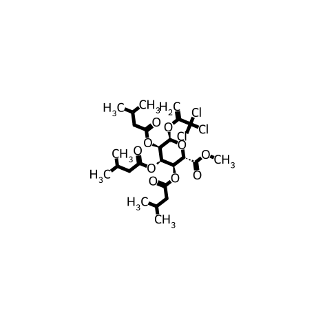 C=C(O[C@H]1O[C@H](C(=O)OC)[C@@H](OC(=O)CC(C)C)[C@H](OC(=O)CC(C)C)[C@H]1OC(=O)CC(C)C)C(Cl)(Cl)Cl